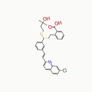 CC(C)(O)CCS[C@H](CCc1ccccc1C(=O)O)c1cccc(C=Cc2ccc3ccc(Cl)cc3n2)c1